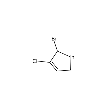 ClC1=C[CH2][In][CH]1Br